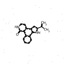 C=C(C)c1cc2c3cc[nH]c(=O)c3c3ccccc3c2[nH]1